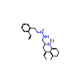 C=Cc1ccccc1CCN(C)NCC1C/C(=C/C)C2=C(C)CCC=C2N1CC